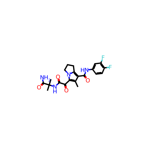 Cc1c(C(=O)Nc2ccc(F)c(F)c2)c2n(c1C(=O)C(=O)NC(C)(C)C(N)=O)CCC2